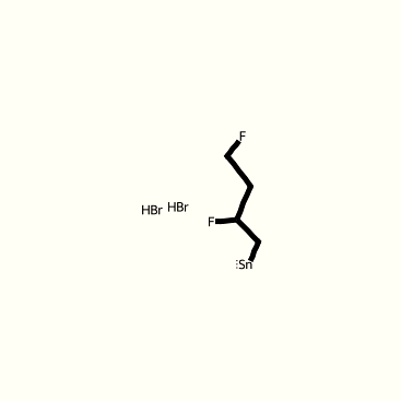 Br.Br.FCCC(F)[CH2][Sn]